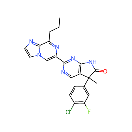 CCCc1nc(-c2ncc3c(n2)NC(=O)C3(C)c2ccc(Cl)c(F)c2)cn2ccnc12